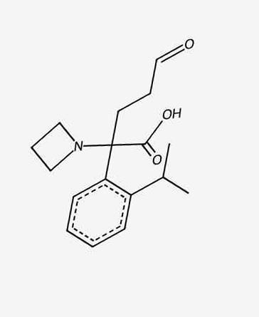 CC(C)c1ccccc1C(CCC=O)(C(=O)O)N1CCC1